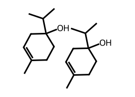 CC1=CCC(O)(C(C)C)CC1.CC1=CCC(O)(C(C)C)CC1